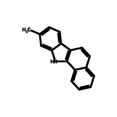 Cc1ccc2c(c1)[nH]c1c3ccccc3ccc21